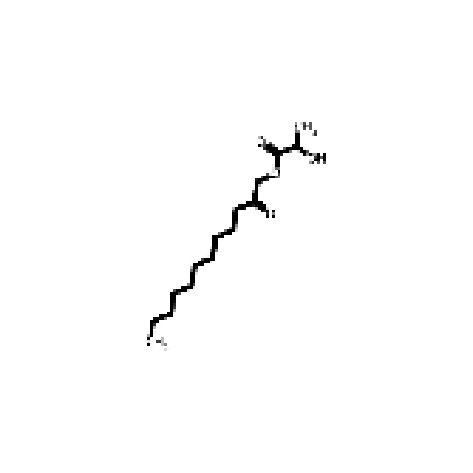 CCCCCCCCCCC(=O)COC(=O)C(C)O